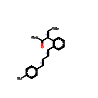 CO/C=C(/C(=O)OC)c1ccccc1/C=C/C=C/c1ccc(C(C)(C)C)cc1